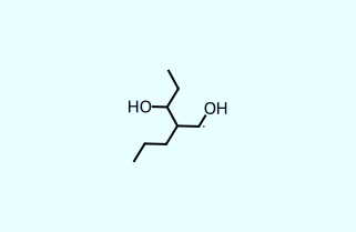 CCCC([CH]O)C(O)CC